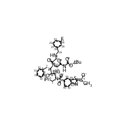 CC(C)CN(C[C@@H](O)[C@H](Cc1ccccc1)N(C(=O)CNCc1cccc(F)c1)[C@H](C(=O)NC(=O)OC(C)(C)C)C(C)(C)C)S(=O)(=O)c1ccc2nc([S+](C)[O-])sc2c1